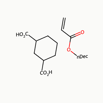 C=CC(=O)OCCCCCCCCCC.O=C(O)C1CCCC(C(=O)O)C1